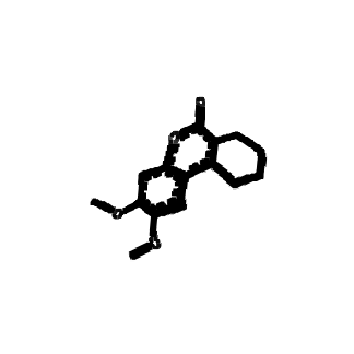 COc1cc2oc(=O)c3c(c2cc1OC)CCCC3